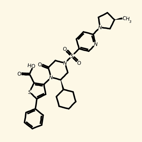 C[C@@H]1CCN(c2ccc(S(=O)(=O)N3CC(=O)N(c4cc(-c5ccccc5)sc4C(=O)O)[C@H](C4CCCCC4)C3)cn2)C1